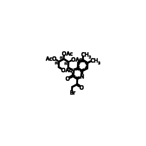 CC(=O)OC[C@@H](OC(C)=O)[C@@H](OC(C)=O)[C@H](Cn1c(=O)c(C(=O)CBr)nc2cc(C)c(C)cc21)OC(C)=O